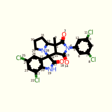 CC12C(=O)N(c3cc(Cl)cc(Cl)c3)C(=O)C1C1(C(=O)Nc3c(Cl)cc(Cl)cc31)N1CCCC12